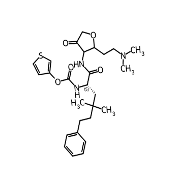 CN(C)CCC1OCC(=O)C1NC(=O)[C@H](CC(C)(C)CCc1ccccc1)NC(=O)Oc1ccsc1